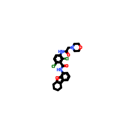 O=C(CN1CCOCC1)Nc1ccc(Cl)c(C(=O)Nc2cccc3c4c(oc23)CCCC4)c1Cl